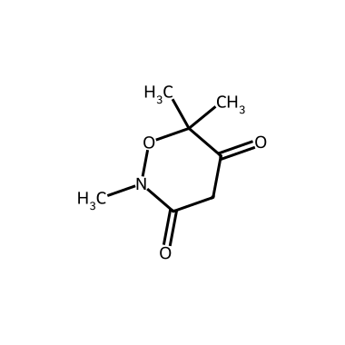 CN1OC(C)(C)C(=O)CC1=O